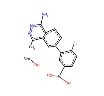 CCc1ccc(B(O)O)cc1-c1ccc2c(N)nnc(C)c2c1.O=CO